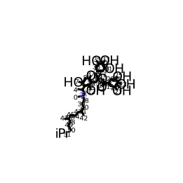 C/C(=C\C(C)c1c(O)cc2c(c1O)C[C@@H](OC(=O)c1cc(O)c(O)c(O)c1)[C@@H](c1cc(O)c(O)c(O)c1)O2)CCCC(C)CCCC(C)CCCC(C)C